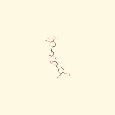 COc1cc(/C=C/C(=O)CC(=O)/C=C/C2=CC=C(O)C(OC)C2)ccc1O